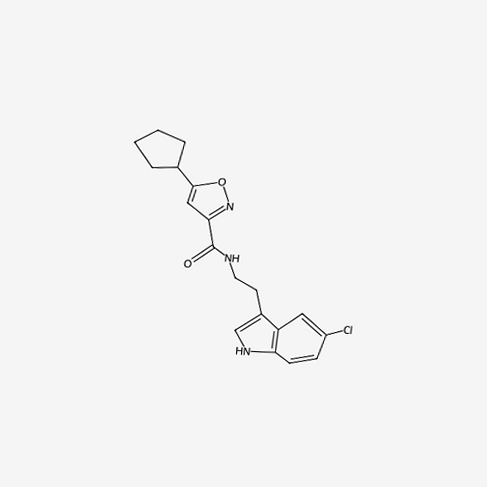 O=C(NCCc1c[nH]c2ccc(Cl)cc12)c1cc(C2CCCC2)on1